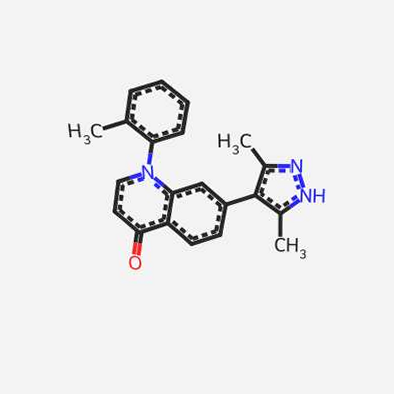 Cc1ccccc1-n1ccc(=O)c2ccc(-c3c(C)n[nH]c3C)cc21